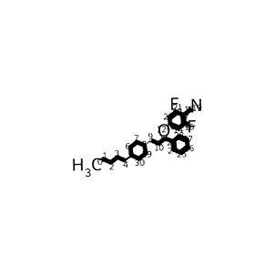 CCCCC[C@H]1CC[C@H](CCC(Oc2cc(F)c(C#N)c(F)c2)c2ccccc2)CC1